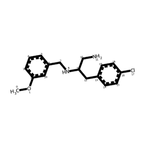 COc1cccc(CNC(CN)Cc2ccc(Cl)cc2)c1